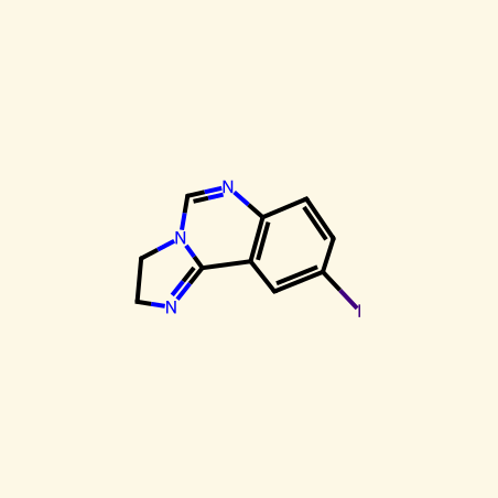 Ic1ccc2c(c1)C1=NCCN1C=N2